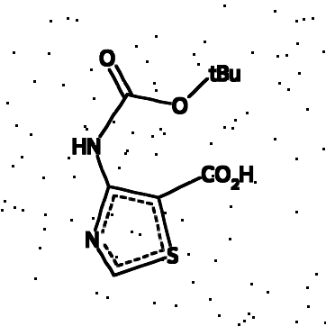 CC(C)(C)OC(=O)Nc1ncsc1C(=O)O